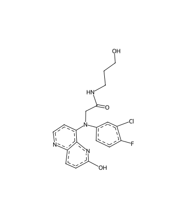 O=C(CN(c1ccc(F)c(Cl)c1)c1ccnc2ccc(O)nc12)NCCCO